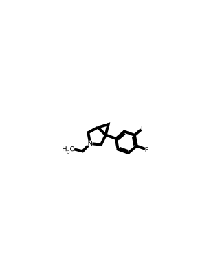 CCN1CC2CC2(c2ccc(F)c(F)c2)C1